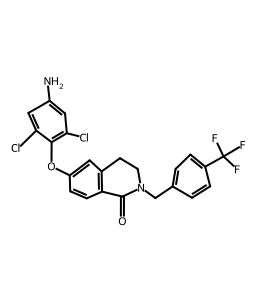 Nc1cc(Cl)c(Oc2ccc3c(c2)CCN(Cc2ccc(C(F)(F)F)cc2)C3=O)c(Cl)c1